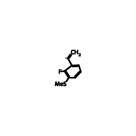 C=[C]c1cccc(SC)c1F